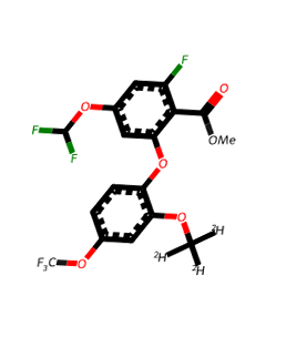 [2H]C([2H])([2H])Oc1cc(OC(F)(F)F)ccc1Oc1cc(OC(F)F)cc(F)c1C(=O)OC